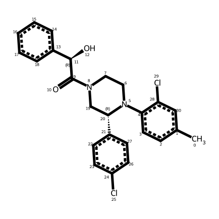 Cc1ccc(N2CCN(C(=O)[C@H](O)c3ccccc3)C[C@H]2c2ccc(Cl)cc2)c(Cl)c1